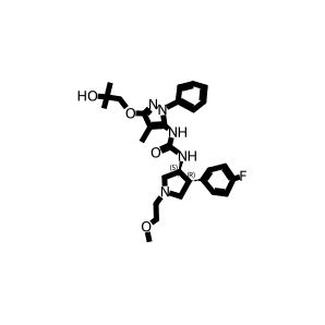 COCCN1C[C@@H](NC(=O)Nc2c(C)c(OCC(C)(C)O)nn2-c2ccccc2)[C@H](c2ccc(F)cc2)C1